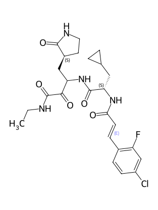 CCNC(=O)C(=O)C(C[C@@H]1CCNC1=O)NC(=O)[C@H](CC1CC1)NC(=O)/C=C/c1ccc(Cl)cc1F